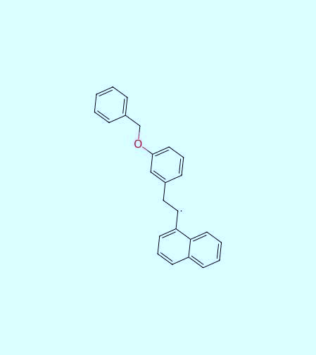 [CH](Cc1cccc(OCc2ccccc2)c1)c1cccc2ccccc12